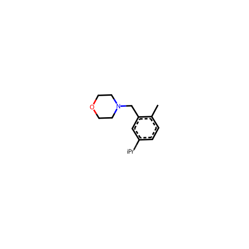 Cc1ccc(C(C)C)cc1CN1CCOCC1